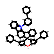 c1ccc(-c2cccc(-n3c4ccccc4c4ccc5c(c43)-c3ccccc3C53c4cc(-c5ccccc5)ccc4Oc4ccc(-c5ccccc5)cc43)c2)cc1